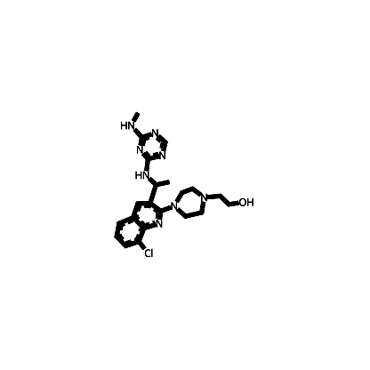 CNc1ncnc(NC(C)c2cc3cccc(Cl)c3nc2N2CCN(CCO)CC2)n1